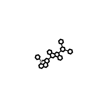 c1ccc(-c2cc(-c3ccccc3)cc(-c3cc4c5ccccc5c(-c5cc6ccc7cccc8c7c6c(c5)n8-c5ccccc5)cc4c4ccccc34)c2)cc1